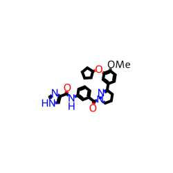 COc1ccc(C2=NN(C(=O)c3cccc(NC(=O)c4c[nH]cn4)c3)CCC2)cc1OC1CCCC1